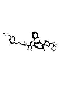 CN1CCN(CCCNC(=O)c2cn3c4c(c(N5CCC(NC(=O)OC(C)(C)C)C5)c(F)cc4c2=O)Oc2ccccc2-3)CC1